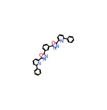 c1ccc(-c2cccc(-c3nnc(-c4cccc(-c5nnc(-c6cccc(-c7ccccc7)n6)o5)c4)o3)n2)cc1